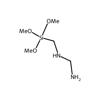 CO[Si](CNCN)(OC)OC